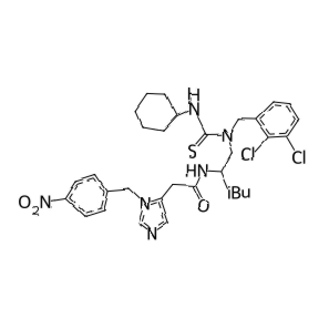 CCC(C)C(CN(Cc1cccc(Cl)c1Cl)C(=S)NC1CCCCC1)NC(=O)Cc1cncn1Cc1ccc([N+](=O)[O-])cc1